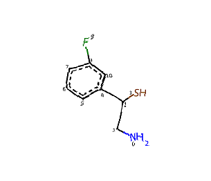 NCC(S)c1cccc(F)c1